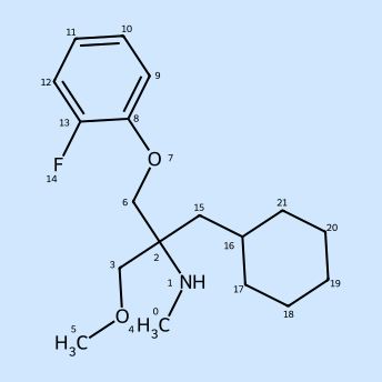 CNC(COC)(COc1ccccc1F)CC1CCCCC1